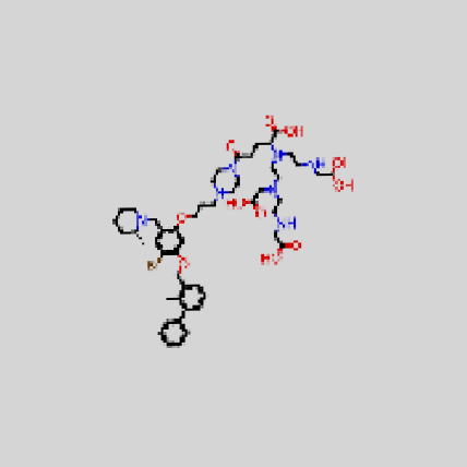 Cc1c(COc2cc(OCCCN3CCN(C(=O)CCC(C(=O)O)N(CCNCC(O)O)CCN(CCNCC(=O)O)CC(=O)O)CC3)c(CN3CCCC[C@H]3C)cc2Br)cccc1-c1ccccc1